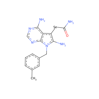 Cc1cccc(Cn2c(N)c([Se]C(N)=O)c3c(N)ncnc32)c1